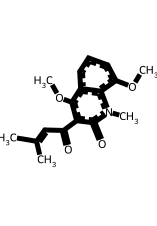 COc1c(C(=O)C=C(C)C)c(=O)n(C)c2c(OC)cccc12